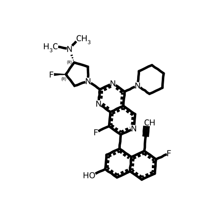 C#Cc1c(F)ccc2cc(O)cc(-c3ncc4c(N5CCCCC5)nc(N5C[C@@H](F)[C@H](N(C)C)C5)nc4c3F)c12